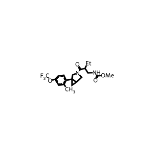 CCC(CNC(=O)OC)C(=O)N1CC2CC2(c2ccc(OC(F)(F)F)cc2C)C1